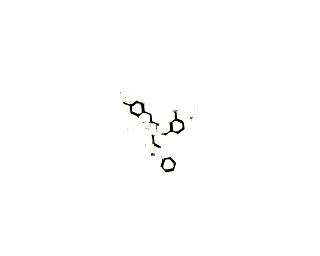 COc1ccc(CN(C(=O)C(N)Cc2c(C)cc(C(N)=O)cc2C)C(C)c2cn(-c3ccccc3)cn2)cc1C(=O)O